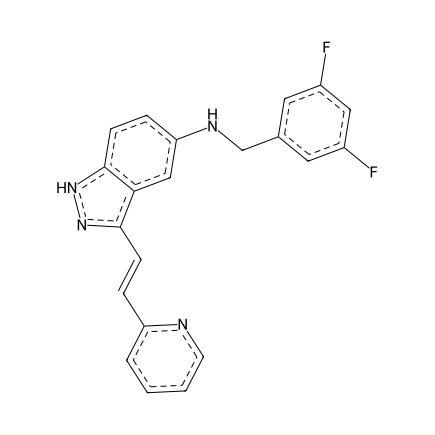 Fc1cc(F)cc(CNc2ccc3[nH]nc(C=Cc4ccccn4)c3c2)c1